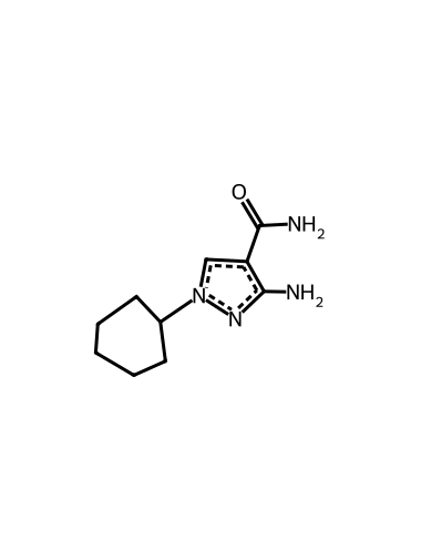 NC(=O)c1cn(C2CCCCC2)nc1N